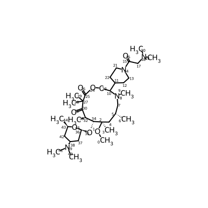 CO[C@]1(C)C[C@@H](C)CN(C)C(C2CCN(C(=O)CN(C)C)CC2)COC(=O)C(C)(C)C(=O)[C@H](C)[C@H]1O[C@H]1C[C@@H](N(C)C)C[C@@H](C)O1